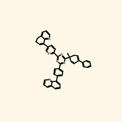 C=C(/C=C\C(=C/CC)C1=CCCc2cccnc21)c1nc(-c2ccc(-c3cccc4cccnc34)cc2)nc(C2(C)C=CC(c3ccccc3)=CC2)n1